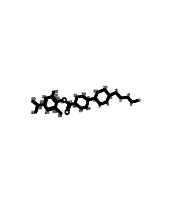 CCCCCC1CCC(C2CCC(C(=O)Oc3c(C)cc(C(C)C)cc3C)CC2)CC1